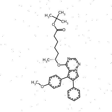 COc1ccc(-c2c(-c3ccccc3)cn3ncnc(O[C@H](C)CCCCC(=O)OC(C)(C)C)c23)cc1